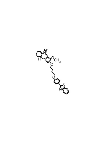 COc1c(OCCCCOc2ccc(-c3nc4ccccc4s3)cc2)cn2c1C=[N+]([O-])C1=CCCC[C@H]1C2